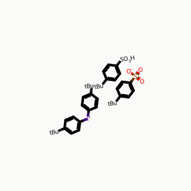 CC(C)(C)c1ccc(S(=O)(=O)O)cc1.CC(C)(C)c1ccc(S(=O)(=O)[O-])cc1.CC(C)(C)c1ccc([I+]c2ccc(C(C)(C)C)cc2)cc1